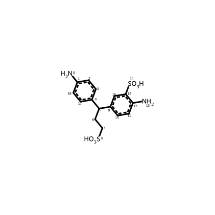 Nc1ccc(C(CCS(=O)(=O)O)c2ccc(N)c(S(=O)(=O)O)c2)cc1